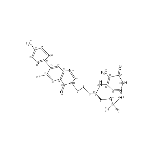 [2H]C([2H])([2H])OC[C@@H](CCCn1cnc2cc(-c3ncc(C(F)(F)F)cn3)c(F)cc2c1=O)Nc1cn[nH]c(=O)c1C(F)(F)F